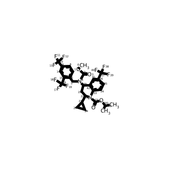 COC(=O)N(Cc1ccc(C(F)(F)F)cc1C(F)(F)F)C1CC(C2CC2)N(C(=O)OC(C)C)c2ccc(C(F)(F)F)cc21